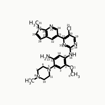 COc1cc(N2CCN(C)CC2)c(N)cc1Nc1ncc(Cl)c(-c2cnc3c(ccn3C)c2)n1